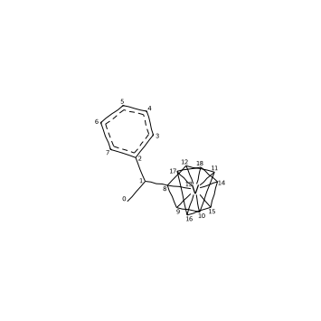 CC(c1ccccc1)[C]12[CH]3[CH]4[CH]5[CH]1[V]45321678[CH]2[CH]1[CH]6[CH]7[CH]28